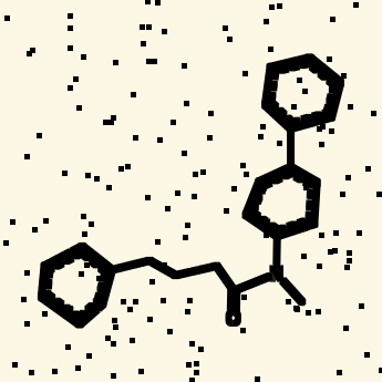 CN(C(=O)CCCc1ccccc1)c1ccc(-c2ccccc2)cc1